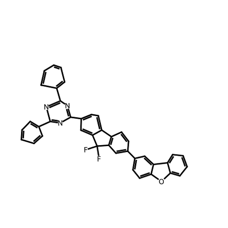 FC1(F)c2cc(-c3ccc4oc5ccccc5c4c3)ccc2-c2ccc(-c3nc(-c4ccccc4)nc(-c4ccccc4)n3)cc21